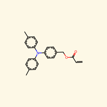 C=CC(=O)OCc1ccc(N(c2ccc(C)cc2)c2ccc(C)cc2)cc1